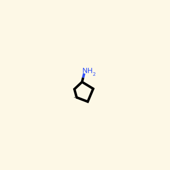 NC1C[CH]CC1